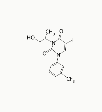 CC(CO)n1c(=O)c(I)cn(-c2cccc(C(F)(F)F)c2)c1=O